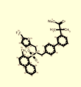 COC(=O)C(C)(C)c1cccc(-c2ccc(CN(Cc3ccc(C(F)(F)F)o3)S(=O)(=O)c3c(C)ccc4ccccc34)cc2)c1